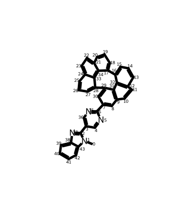 Cn1c(-c2cnc(-c3cc4ccc5cccc6c7cccc8ccc9cccc(c(c3)c4c56)c9c87)nc2)nc2ccccc21